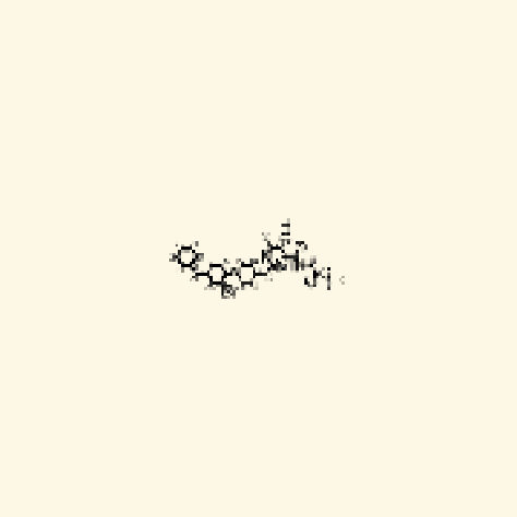 CCOC(=O)CNC(=O)c1nc(CC2CCN(c3ccc(Cc4ccccc4)cc3Br)CC2)nc(C)c1O